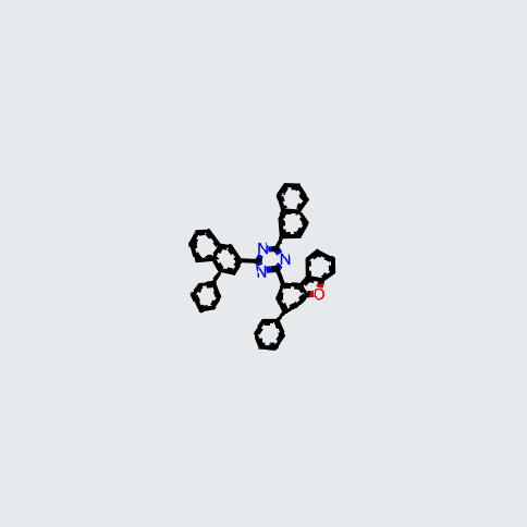 c1ccc(-c2cc(-c3nc(-c4ccc5ccccc5c4)nc(-c4cc(-c5ccccc5)c5ccccc5c4)n3)c3c(c2)oc2ccccc23)cc1